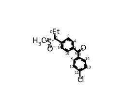 CCC(c1ccc(C(=O)c2ccc(Cl)cc2)cc1)[S+](C)[O-]